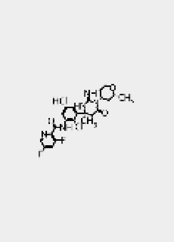 C[C@@H]1C[C@H](N2C(=N)N[C@](C)(c3cccc(NC(=O)c4ncc(F)cc4F)c3Cl)CC2=O)CCO1.Cl